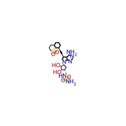 Nc1ncnc2c1c(C#Cc1cccc3c1S(=O)(=O)CCC3)cn2[C@@H]1C[C@H](CNS(N)(=O)=O)[C@@H](O)[C@H]1O